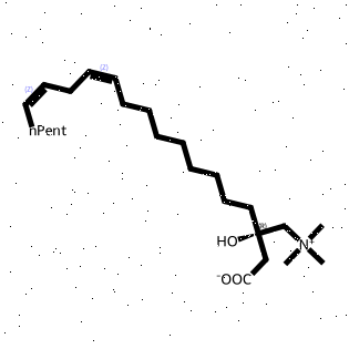 CCCCC/C=C\C/C=C\CCCCCCCC[C@@](O)(CC(=O)[O-])C[N+](C)(C)C